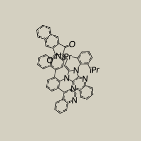 CC(C)c1cccc(C(C)C)c1N1/C(=C\C=C2C(=O)c3cc4ccccc4cc3C2=O)N(c2c(-c3ccnc4ccccc34)cccc2-c2ccnc3ccccc23)c2nc3ccccc3nc21